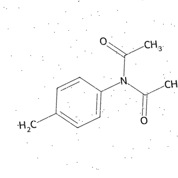 [CH2]c1ccc(N(C(C)=O)C(C)=O)cc1